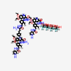 CCOc1cc2ncc(C(N)=O)c(Nc3cccc(CNC(=O)[C@@H](N)CCc4ccccc4)c3CC)c2cc1OCC.CCOc1cc2ncc(C(N)=O)c(Nc3cccc(CNC(=O)[C@@H]4CCCNC4)c3CC)c2cc1OCC.CCOc1cc2ncc(C(N)=O)c(Nc3cccc(CNC(=O)[C@H]4CCCNC4)c3CC)c2cc1OCC.O=C(O)C(F)(F)F.O=C(O)C(F)(F)F.O=C(O)C(F)(F)F.O=C(O)C(F)(F)F